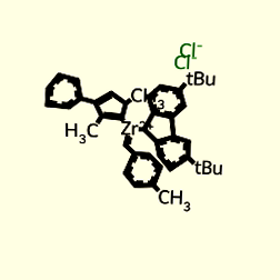 CC1=[C](/[Zr+2](=[CH]/c2ccc(C)cc2)[CH]2c3ccc(C(C)(C)C)cc3-c3cc(C(C)(C)C)ccc32)C(C)C=C1c1ccccc1.[Cl-].[Cl-]